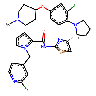 CC(=O)N1CCC(Oc2ccc(N3CCC[C@@H]3c3csc(NC(=O)c4cccn4Cc4ccnc(F)c4)n3)c(F)c2)CC1